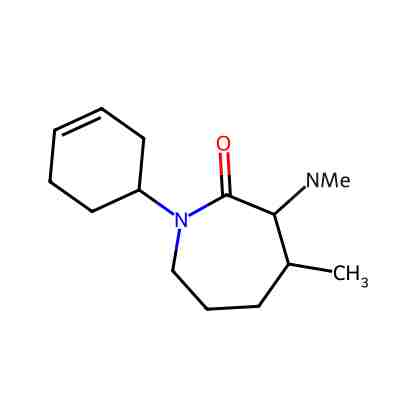 CNC1C(=O)N(C2CC=CCC2)CCCC1C